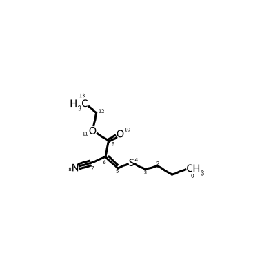 CCCCSC=C(C#N)C(=O)OCC